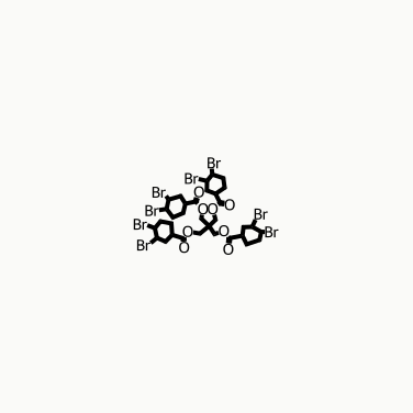 O=C(OCC(COC(=O)C1CCC(Br)C(Br)C1)(COC(=O)C1CCC(Br)C(Br)C1)COC(=O)C1CCC(Br)C(Br)C1)C1CCC(Br)C(Br)C1